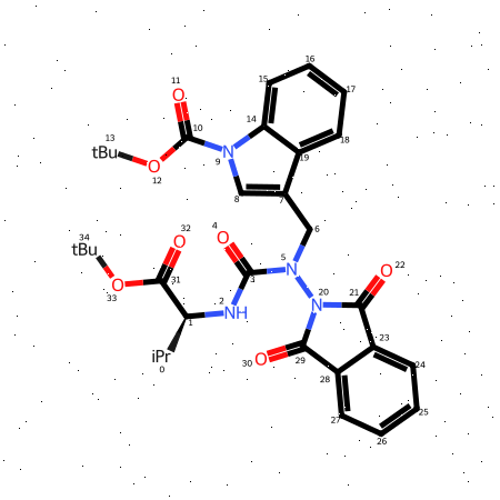 CC(C)[C@H](NC(=O)N(Cc1cn(C(=O)OC(C)(C)C)c2ccccc12)N1C(=O)c2ccccc2C1=O)C(=O)OC(C)(C)C